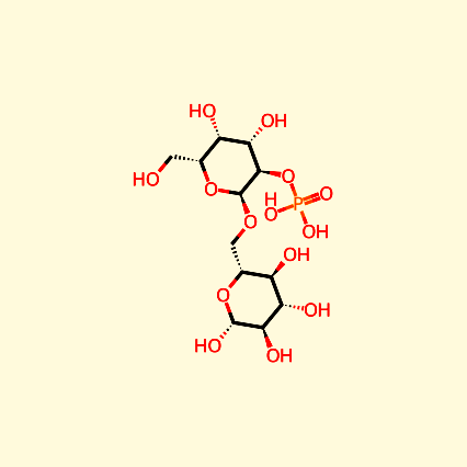 O=P(O)(O)O[C@H]1[C@@H](OC[C@H]2O[C@@H](O)[C@H](O)[C@@H](O)[C@@H]2O)O[C@H](CO)[C@H](O)[C@@H]1O